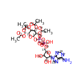 CC(=O)OC[C@H]1O[C@H](OP(=O)(O)OP(=O)(O)OC[C@H]2O[C@@H](n3cnc4c(N)ncnc43)[C@H](O)[C@@H]2O)[C@@H](OC(C)=O)[C@@H](OC(C)=O)[C@@H]1OC(C)=O